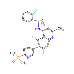 Cc1nc2cc(F)c(-c3ccc(P(C)(C)=O)nc3)c(F)c2c(NC(C)c2ccccc2F)c1Cl